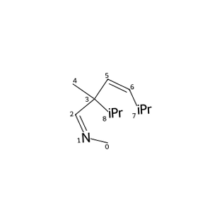 C/N=C\C(C)(/C=C\C(C)C)C(C)C